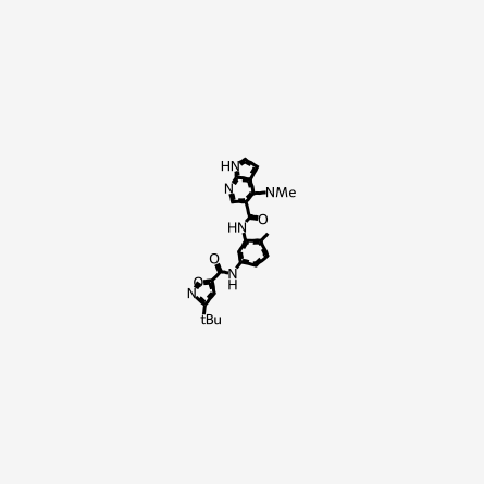 CNc1c(C(=O)Nc2cc(NC(=O)c3cc(C(C)(C)C)no3)ccc2C)cnc2[nH]ccc12